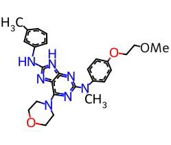 COCCOc1ccc(N(C)c2nc(N3CCOCC3)c3nc(Nc4cccc(C)c4)[nH]c3n2)cc1